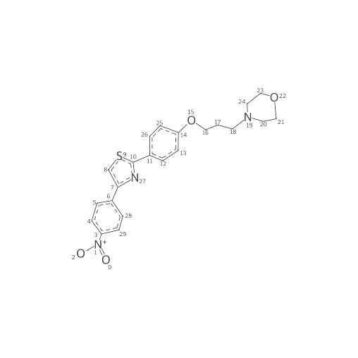 O=[N+]([O-])c1ccc(-c2csc(-c3ccc(OCCCN4CCOCC4)cc3)n2)cc1